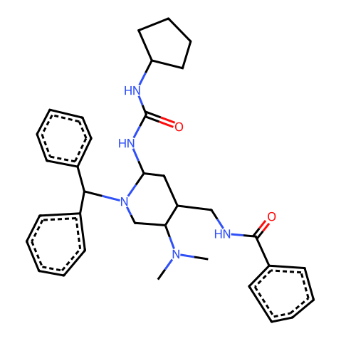 CN(C)C1CN(C(c2ccccc2)c2ccccc2)C(NC(=O)NC2CCCC2)CC1CNC(=O)c1ccccc1